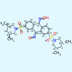 C[C@@H]1C[C@H](C)CN(S(=O)(=O)c2ccc3c(c2)C(=N[O])c2cc(S(=O)(=O)N4C[C@H](C)C[C@H](C)C4)ccc2C3=NO)C1